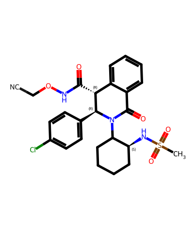 CS(=O)(=O)N[C@H]1CCCCC1N1C(=O)c2ccccc2[C@@H](C(=O)NOCC#N)[C@@H]1c1ccc(Cl)cc1